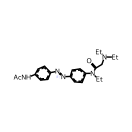 CCN(CC)CC(=O)N(CC)c1ccc(/N=N/c2ccc(NC(C)=O)cc2)cc1